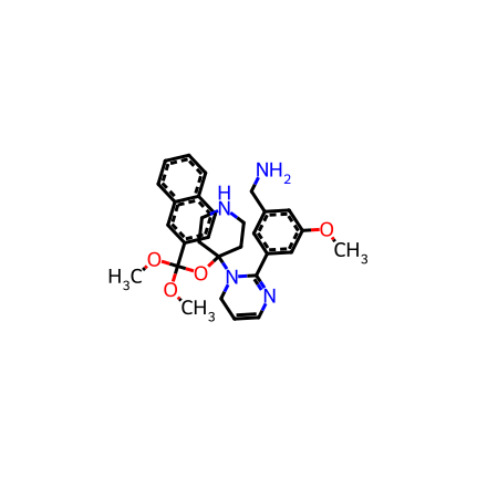 COc1cc(CN)cc(C2=NC=CCN2C2(OC(OC)(OC)c3ccc4ccccc4c3)CCNCC2)c1